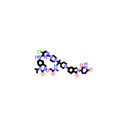 CNC(=O)CON1Cc2cc(Nc3nc(N4CCN(C(C)(C)C5CCN(c6ccc7c(c6)CN(C6CCC(=O)NC6=O)C7=O)CC5)CC4)ncc3Cl)ccc2N(C(C)C)C1=O